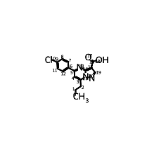 CCCc1cc(-c2ccc(Cl)cc2)nc2c(C(=O)O)cnn12